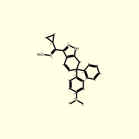 CON=C(c1n[nH]c2c1C=CC(c1ccccc1)(c1ccc(N(C)C)cc1)C2)C1CC1